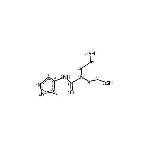 O=C(Nc1cnns1)N(CCS)CCS